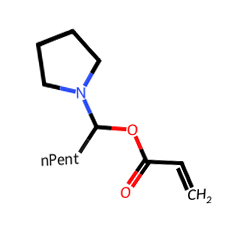 C=CC(=O)OC(CCCCC)N1CCCC1